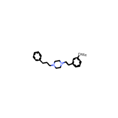 COc1cccc(CCN2CCN(CCCc3ccccc3)CC2)c1